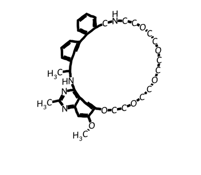 COc1cc2nc(C)nc3c2cc1OCCOCCOCCOCCOCCNCc1ccccc1-c1cccc(c1)C(C)N3